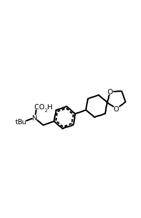 CC(C)(C)N(Cc1ccc(C2CCC3(CC2)OCCO3)cc1)C(=O)O